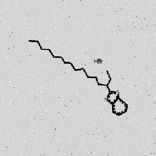 Br.CCCCCCCCCCCCCC(CC)c1nc2ccccc2s1